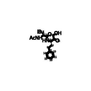 CCC(C)[C@H](NC(C)=O)C(=O)N[C@@H](CCc1ccccc1)C(=O)CO